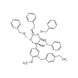 CCc1ccc(Cc2cc([C@]3(O)C[C@H](COCc4ccccc4)[C@@H](OCc4ccccc4)[C@H](OCc4ccccc4)[C@H]3OCc3ccccc3)ccc2OC)cc1